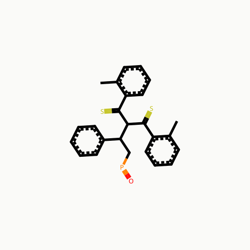 Cc1ccccc1C(=S)C(C(=S)c1ccccc1C)C(CP=O)c1ccccc1